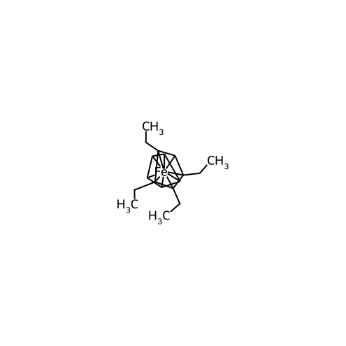 CC[C]12[CH]3[C]4(CC)[C]5(CC)[C]1(CC)[Fe]32451678[CH]2[CH]1[CH]6[CH]7[CH]28